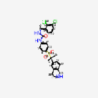 C[C@H](NC(=O)Nc1ccc(S(=O)(=O)C(C)(C)c2ccc3c(c2)CCNC3)cc1)c1cccc(Cl)c1Cl